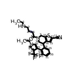 CCNC/C=C/C(=O)N1Cc2sc(C#N)cc2C(c2cccc(F)c2-c2cn(CC)nc2C(F)(F)F)C1